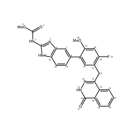 COC(=O)Nc1nc2cc(-c3cc(Cc4n[nH]c(=O)c5ccccc45)c(F)cc3OC)ccc2[nH]1